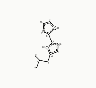 CC(C)Cc1cnc(-c2nccs2)o1